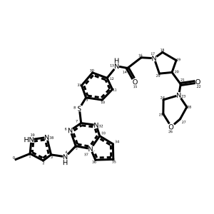 Cc1cc(Nc2nc(Sc3ccc(NC(=O)CN4CCC(C(=O)N5CCOCC5)C4)cc3)nc3cccn23)n[nH]1